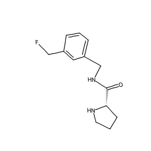 O=C(NCc1cccc(CF)c1)[C@@H]1CCCN1